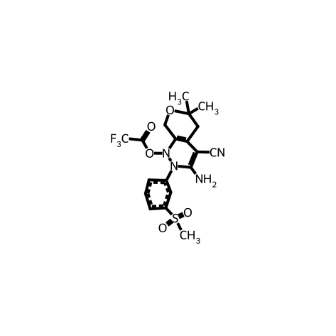 CC1(C)CC2=C(CO1)N(OC(=O)C(F)(F)F)N(c1cccc(S(C)(=O)=O)c1)C(N)=C2C#N